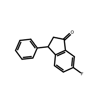 O=C1CC(c2ccccc2)c2ccc(F)cc21